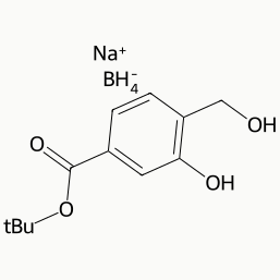 CC(C)(C)OC(=O)c1ccc(CO)c(O)c1.[BH4-].[Na+]